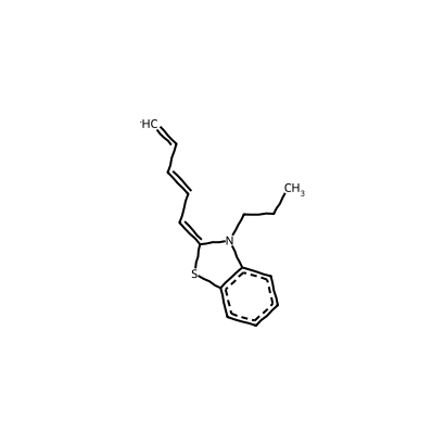 [CH]=C/C=C/C=C1/Sc2ccccc2N1CCC